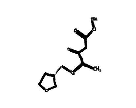 CC(OC[C@H]1CCOC1)C(=O)CC(=O)OC(C)(C)C